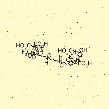 O=C(O)CCc1ccc(O)c(CN(CCN(CC(=O)O)Cc2cc(CCC(=O)NCCCCCC(=O)NCCCC[C@H](NC(=O)N[C@@H](CCC(=O)O)C(=O)O)C(=O)OC(=O)C(F)(F)F)ccc2O)CC(=O)O)c1